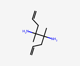 C=CCC(C)(N)C(C)(N)CC=C